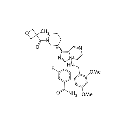 COc1ccc(CN[N+]23C=CN=CC2=C([C@@H]2CCCN(C(=O)C4(C)COC4)C2)N=C3c2ccc(C(N)=O)cc2F)c(OC)c1